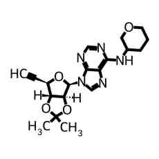 C#C[C@H]1O[C@@H](n2cnc3c(NC4CCCOC4)ncnc32)[C@H]2OC(C)(C)O[C@@H]21